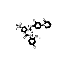 CS(=O)(=O)N1C[C@H](C(=O)Nc2ccc(Cl)cc2N)[C@@H](C(=O)Nc2ccc(-n3ccccc3=O)cc2F)C1